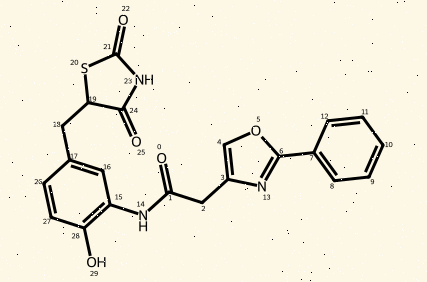 O=C(Cc1coc(-c2ccccc2)n1)Nc1cc(CC2SC(=O)NC2=O)ccc1O